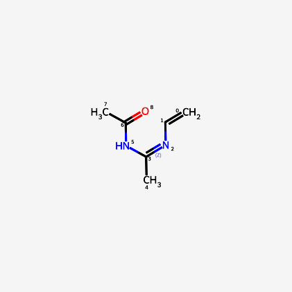 C=C/N=C(/C)NC(C)=O